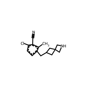 Cc1c(CC2CC3(CNC3)C2)ccc(Cl)c1C#N